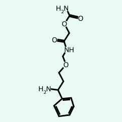 NC(=O)OCC(=O)NCOCCC(N)c1ccccc1